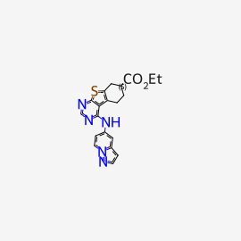 CCOC(=O)[C@H]1CCc2c(sc3ncnc(Nc4ccn5nccc5c4)c23)C1